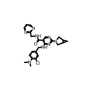 CN(C)c1ccc(CNc2nc(N3CC4CC4C3)ncc2C(=O)NCc2ncccn2)cc1Cl